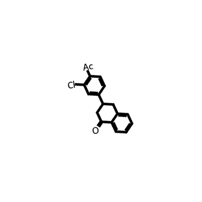 CC(=O)c1ccc(C2CC(=O)c3ccccc3C2)cc1Cl